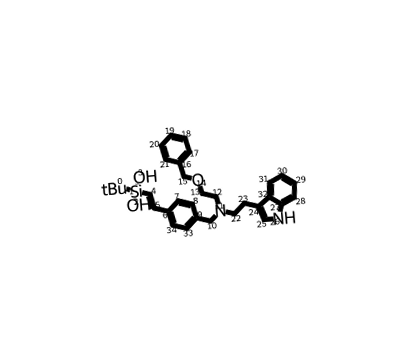 CC(C)(C)[Si](O)(O)C=Cc1ccc(CN(CCOCc2ccccc2)CCc2c[nH]c3ccccc23)cc1